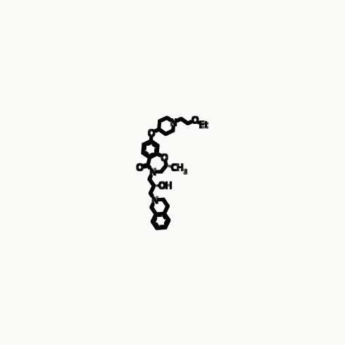 CCOCCN1CCC(Oc2ccc3c(c2)O[C@H](C)CN(C[C@H](O)CN2CCc4ccccc4C2)C3=O)CC1